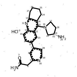 Cl.NC(=O)Cc1cc(-c2ccc3nc4c(c(N5CC[C@H](N)C5)c3c2)CCCC4)ccn1